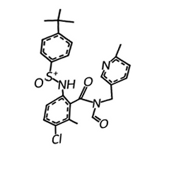 Cc1ccc(CN(C=O)C(=O)c2c(N[S+]([O-])c3ccc(C(C)(C)C)cc3)ccc(Cl)c2C)cn1